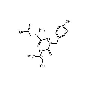 NC(=O)C[C@H](N)C(=O)N[C@@H](Cc1ccc(O)cc1)C(=O)N[C@@H](CO)C(=O)O